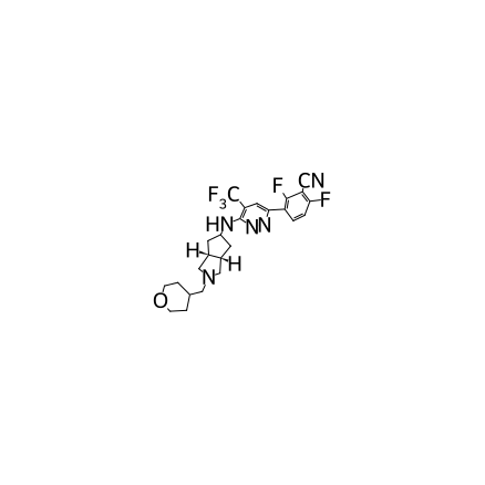 N#Cc1c(F)ccc(-c2cc(C(F)(F)F)c(NC3C[C@@H]4CN(CC5CCOCC5)C[C@@H]4C3)nn2)c1F